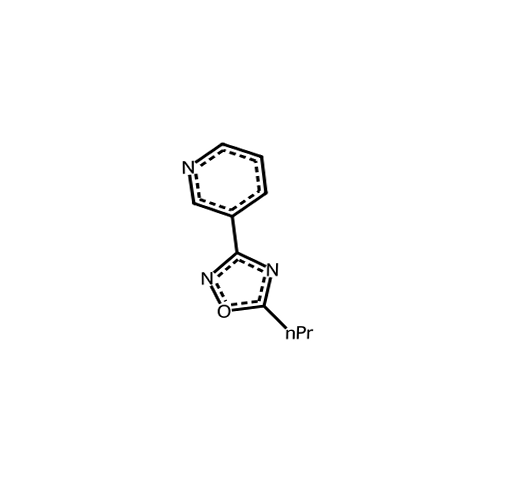 CCCc1nc(-c2cccnc2)no1